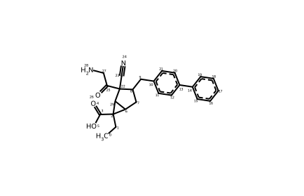 CCC1(C(=O)O)C2CC(Cc3ccc(-c4ccccc4)cc3)C(C#N)(C(=O)CN)C21